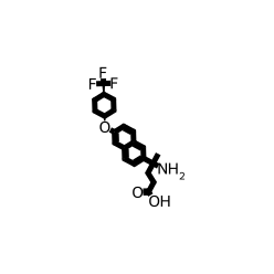 CC(N)(CCC(=O)O)c1ccc2cc(O[C@H]3CC[C@H](C(F)(F)F)CC3)ccc2c1